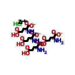 Cl.N[C@@H](CCC(=O)O)C(=O)[O-].N[C@@H](CCC(=O)O)C(=O)[O-].N[C@@H](CCC(=O)O)C(=O)[O-].N[C@@H](CCC(=O)O)C(=O)[O-].[Zr+4]